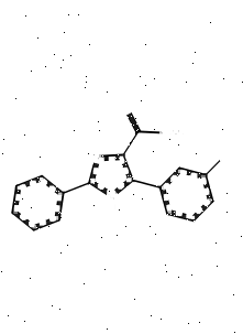 COC(=O)c1nc(-c2ccccc2)[nH]c1-c1cccc(Cl)c1